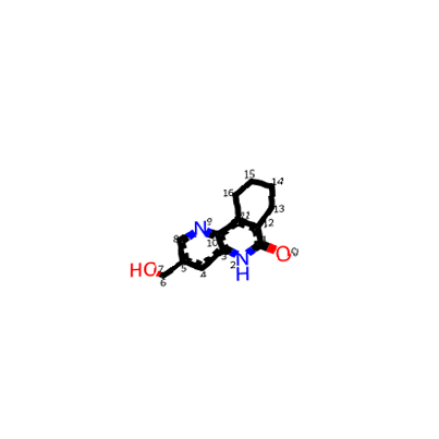 O=c1[nH]c2cc(CO)cnc2c2c1CCCC2